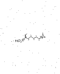 C=C(CCCCCN1CC1)C(=O)O